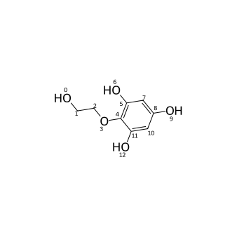 OCCOc1c(O)cc(O)cc1O